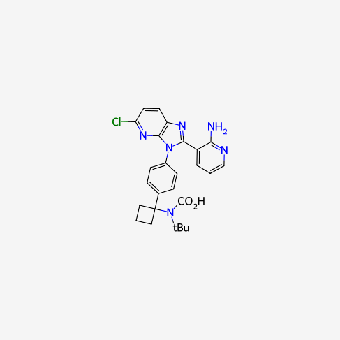 CC(C)(C)N(C(=O)O)C1(c2ccc(-n3c(-c4cccnc4N)nc4ccc(Cl)nc43)cc2)CCC1